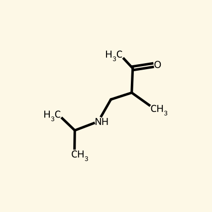 CC(=O)C(C)CNC(C)C